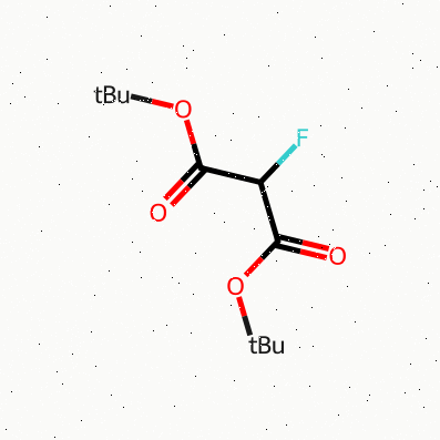 CC(C)(C)OC(=O)C(F)C(=O)OC(C)(C)C